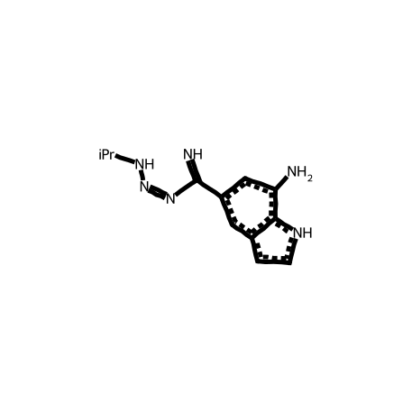 CC(C)N/N=N\C(=N)c1cc(N)c2[nH]ccc2c1